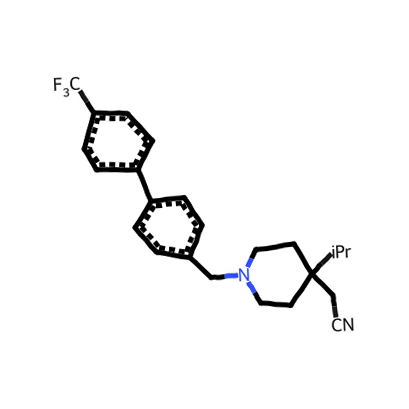 CC(C)C1(CC#N)CCN(Cc2ccc(-c3ccc(C(F)(F)F)cc3)cc2)CC1